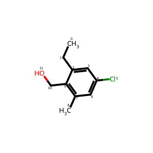 CCc1cc(Cl)cc(C)c1CO